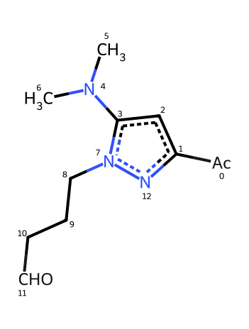 CC(=O)c1cc(N(C)C)n(CCCC=O)n1